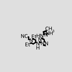 CCC1CC(Nc2nc(Nc3cc(C)[nH]n3)cc3nccn23)CC(CC)N1CCC#N